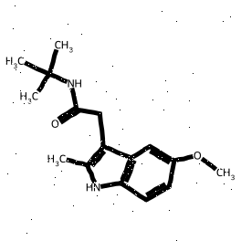 COc1ccc2[nH]c(C)c(CC(=O)NC(C)(C)C)c2c1